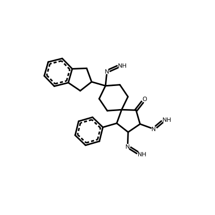 N=NC1C(=O)C2(CCC(N=N)(C3Cc4ccccc4C3)CC2)C(c2ccccc2)C1N=N